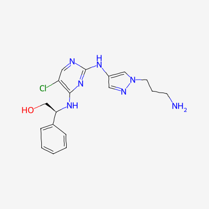 NCCCn1cc(Nc2ncc(Cl)c(N[C@H](CO)c3ccccc3)n2)cn1